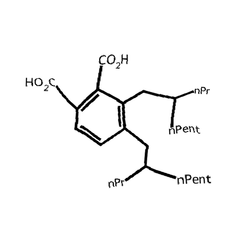 CCCCCC(CCC)Cc1ccc(C(=O)O)c(C(=O)O)c1CC(CCC)CCCCC